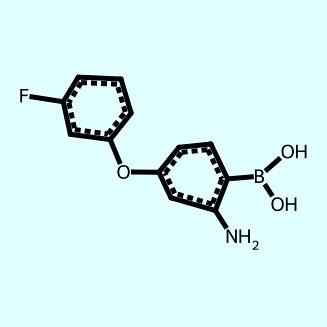 Nc1cc(Oc2cccc(F)c2)ccc1B(O)O